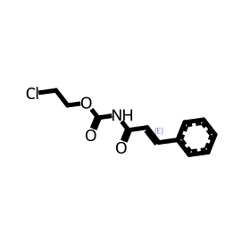 O=C(/C=C/c1ccccc1)NC(=O)OCCCl